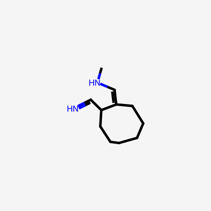 CN/C=C1/CCCCCCC1C=N